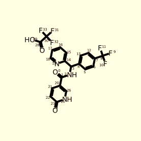 O=C(NC(c1ccc(C(F)(F)F)cc1)c1ccccn1)c1ccc(=O)[nH]c1.O=C(O)C(F)(F)F